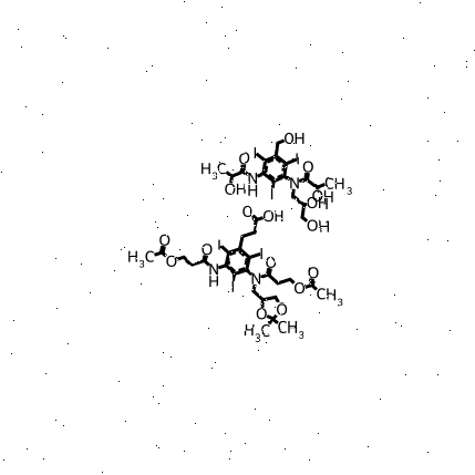 CC(=O)OCCC(=O)Nc1c(I)c(CCC(=O)O)c(I)c(N(CC2COC(C)(C)O2)C(=O)CCOC(C)=O)c1I.CC(O)C(=O)Nc1c(I)c(CO)c(I)c(N(CC(O)CO)C(=O)C(C)O)c1I